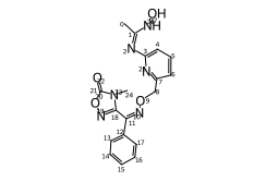 CC(=Nc1cccc(CON=C(c2ccccc2)c2noc(=O)n2C)n1)NO